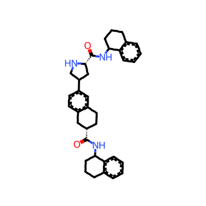 O=C(NC1CCCc2ccccc21)[C@H]1CCc2cc(C3CN[C@H](C(=O)NC4CCCc5ccccc54)C3)ccc2C1